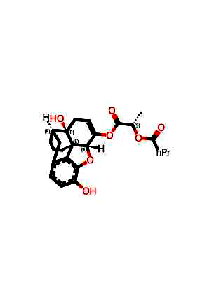 CCCC(=O)O[C@@H](C)C(=O)OC1=CC[C@@]2(O)[C@@H]3CCC[C@@]24c2c(ccc(O)c2O[C@@H]14)C3